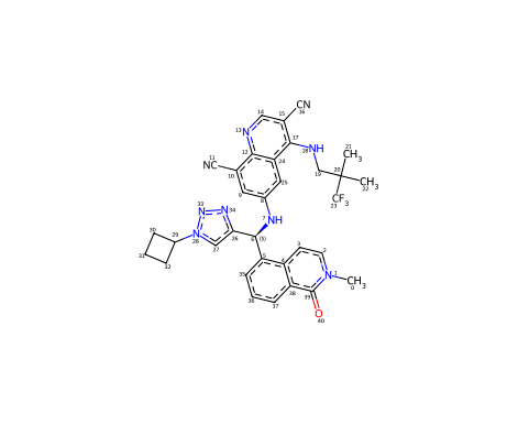 Cn1ccc2c([C@H](Nc3cc(C#N)c4ncc(C#N)c(NCC(C)(C)C(F)(F)F)c4c3)c3cn(C4CCC4)nn3)cccc2c1=O